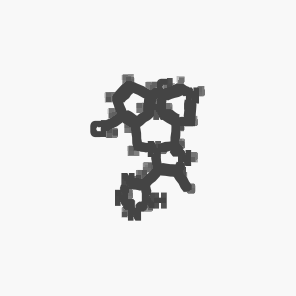 Cc1nc(-c2cnccn2)n(Cc2cc(Cl)ccc2Cl)c1-c1nnn[nH]1